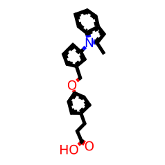 Cc1cc2ccccc2n1-c1cccc(COc2ccc(CCC(=O)O)cc2)c1